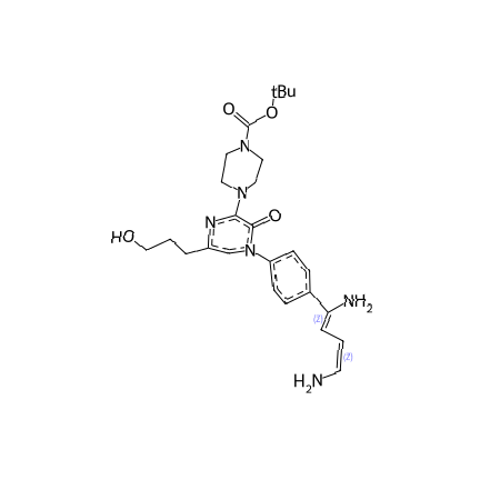 CC(C)(C)OC(=O)N1CCN(c2nc(CCCO)cn(-c3ccc(/C(N)=C/C=C\N)cc3)c2=O)CC1